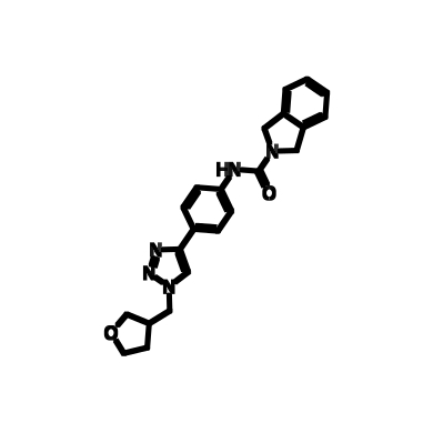 O=C(Nc1ccc(-c2cn(CC3CCOC3)nn2)cc1)N1Cc2ccccc2C1